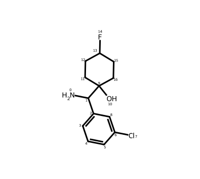 NC(c1cccc(Cl)c1)C1(O)CCC(F)CC1